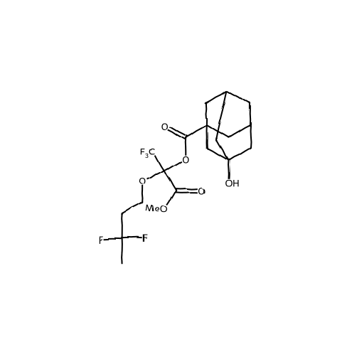 COC(=O)C(OCCC(C)(F)F)(OC(=O)C12CC3CC(CC(O)(C3)C1)C2)C(F)(F)F